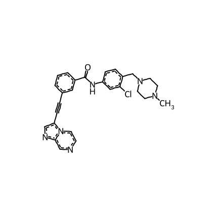 CN1CCN(Cc2ccc(NC(=O)c3cccc(C#Cc4cnc5cnccn45)c3)cc2Cl)CC1